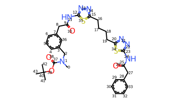 CN(Cc1cccc(CC(=O)Nc2nnc(CCCCc3nnc(NC(=O)Cc4ccccc4)s3)s2)c1)C(=O)OC(C)(C)C